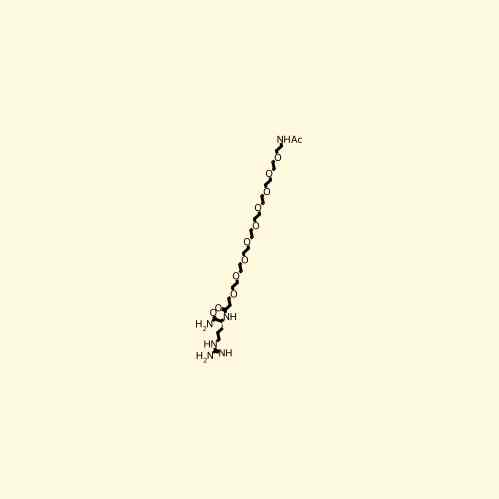 CC(=O)NCCOCCOCCOCCOCCOCCOCCOCCOCCOCCC(=O)N[C@H](CCCNC(=N)N)C(N)=O